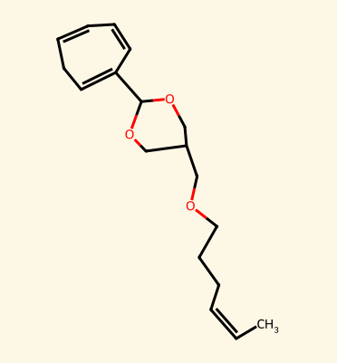 C/C=C\CCCOCC1COC(C2=CCC=CC=C2)OC1